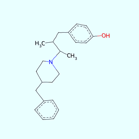 CC(Cc1ccc(O)cc1)C(C)N1CCC(Cc2ccccc2)CC1